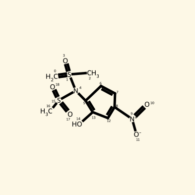 C=S(C)(=O)N(c1ccc([N+](=O)[O-])cc1O)S(C)(=O)=O